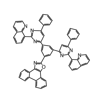 c1ccc(-c2cc(-c3cc(-c4cc(-c5ccccc5)nc(-c5cccc6cccnc56)n4)cc(-c4nc5c6ccccc6c6ccccc6c5o4)c3)nc(-c3cccc4cccnc34)n2)cc1